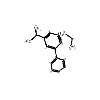 CC(C)c1cccc(-c2ccccc2)c1.CCN